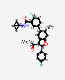 CCCc1cc2oc(-c3ccc(F)cc3)c(C(=O)NC)c2cc1-c1ccc(F)c(C(=O)NC23CC2C3)c1